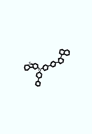 c1ccc(-c2ccc(N(c3ccc(-c4ccc(-c5cccc(-c6cccc7ccccc67)c5)cc4)cc3)c3ccc4sc5ccccc5c4c3)cc2)cc1